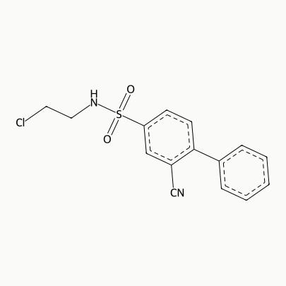 N#Cc1cc(S(=O)(=O)NCCCl)ccc1-c1ccccc1